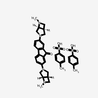 CN1C[C@H]2CN(c3ccc4c(c3)C(=O)c3cc(N5C[C@@H]6CN(C)[C@@H]6C5)ccc3-4)C[C@H]21.Cc1ccc(S(=O)(=O)O)cc1.Cc1ccc(S(=O)(=O)O)cc1